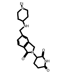 CCN1CCC(NCc2ccc3c(c2)CN(C2CCC(=O)NC2=O)C3=O)CC1